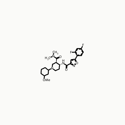 COC1CCCC(N2CC[C@@H](NC(=O)c3cc(-c4ccc(F)cc4F)on3)[C@H](C(=O)N(C)C)C2)C1